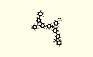 CC1(C)c2ccccc2-c2ccc(-c3ccc(N(c4ccc(C#N)cc4)c4ccc(-c5ccc6c(c5)c5cc(-c7ccccc7)ccc5n6-c5ccccc5)cc4)cc3)cc21